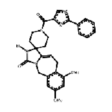 CCN1C(=O)N2Cc3cc(OC)cc(OC)c3CC=C2C12CCN(C(=O)c1csc(-c3ccccc3)n1)CC2